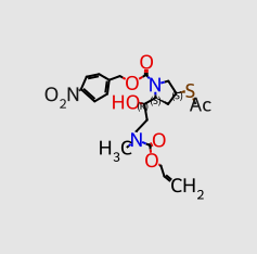 C=CCOC(=O)N(C)CC[C@@H](O)[C@@H]1C[C@H](SC(C)=O)CN1C(=O)OCc1ccc([N+](=O)[O-])cc1